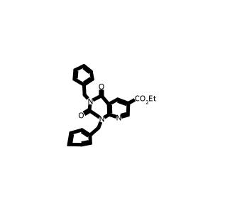 CCOC(=O)c1cnc2c(c1)c(=O)n(Cc1ccccc1)c(=O)n2Cc1ccccc1